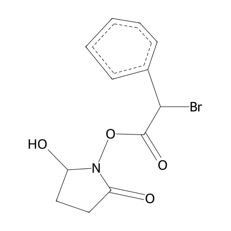 O=C(ON1C(=O)CCC1O)C(Br)c1ccccc1